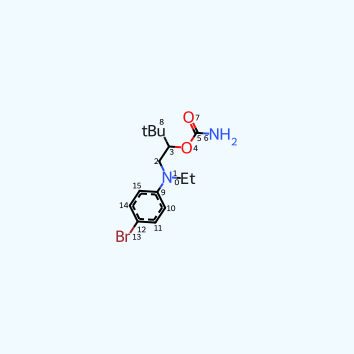 CCN(CC(OC(N)=O)C(C)(C)C)c1ccc(Br)cc1